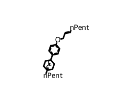 CCCCC/C=C/COc1ccc(C23CCC(CCCCC)(CC2)CC3)cc1